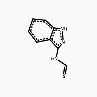 S=[C]Nc1n[nH]c2ccccc12